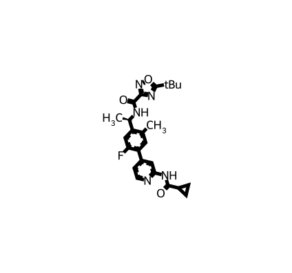 Cc1cc(-c2ccnc(NC(=O)C3CC3)c2)c(F)cc1[C@@H](C)NC(=O)c1noc(C(C)(C)C)n1